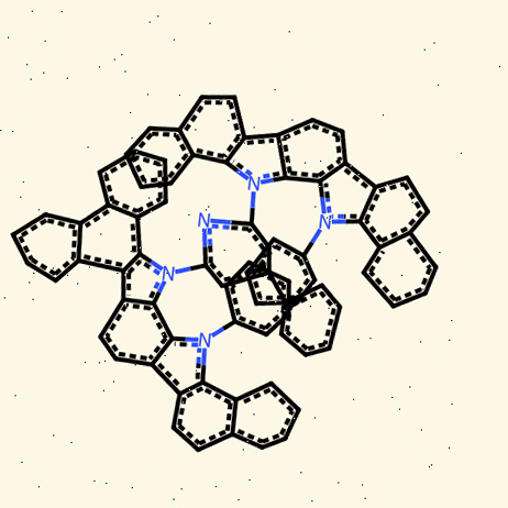 c1ccc(-c2cc(-n3c4c5ccccc5ccc4c4ccc5c6ccc7ccccc7c6n(-c6ccccc6)c5c43)nc(-n3c4c5ccccc5c5ccccc5c4c4ccc5c6ccc7ccccc7c6n(-c6ccccc6)c5c43)c2)cc1